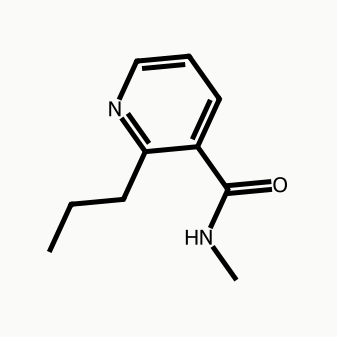 CCCc1ncccc1C(=O)NC